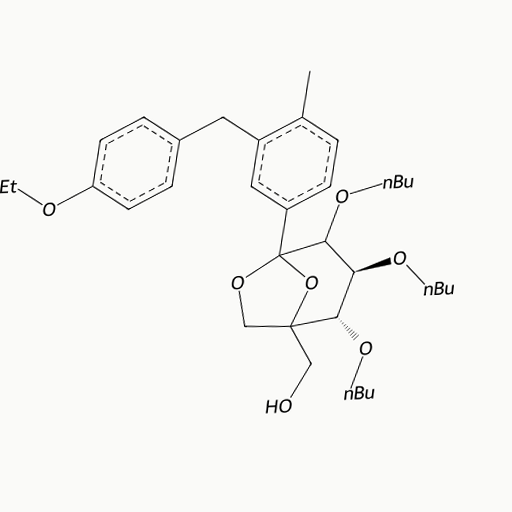 CCCCOC1[C@@H](OCCCC)[C@H](OCCCC)C2(CO)COC1(c1ccc(C)c(Cc3ccc(OCC)cc3)c1)O2